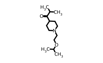 CC(C)OCCN1CCC(C(=O)C(C)C)CC1